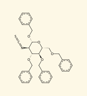 S=C=N[C@H]1[C@H](OCc2ccccc2)O[C@H](COCc2ccccc2)[C@@H](OCc2ccccc2)[C@@H]1OCc1ccccc1